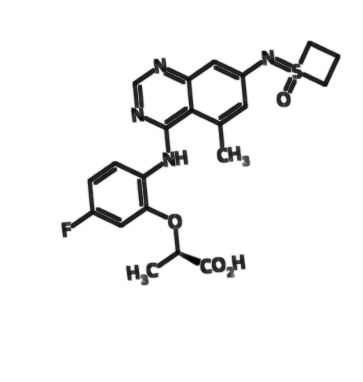 Cc1cc(N=S2(=O)CCC2)cc2ncnc(Nc3ccc(F)cc3O[C@H](C)C(=O)O)c12